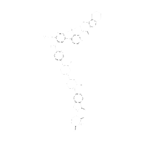 COc1ncc(-c2ccnc(N3CCc4c(sc5c4CCCC5)C3=O)c2C(C)(C)O)cc1Nc1ccc(N2CCN(C3CCN(c4ccc5c(c4)CN([C@H]4CCC(=O)NC4=O)C5=O)[C@H](C)C3)C[C@@H]2C)cn1